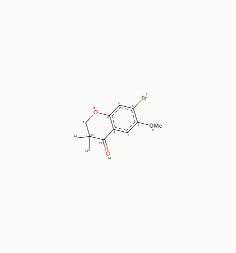 COc1cc2c(cc1Br)OCC(C)(C)C2=O